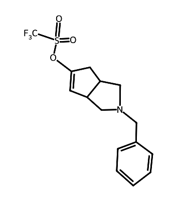 O=S(=O)(OC1=CC2CN(Cc3ccccc3)CC2C1)C(F)(F)F